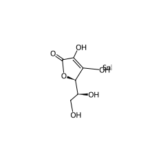 O=C1O[C@H]([C@@H](O)CO)C(O)=C1O.[Sn]